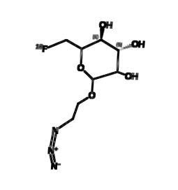 [N-]=[N+]=NCCOC1OC(C[18F])[C@@H](O)[C@H](O)C1O